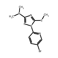 CSc1nc(N(C)C)nn1-c1ccc(Br)cn1